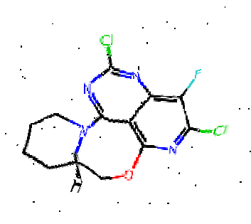 Fc1c(Cl)nc2c3c(nc(Cl)nc13)N1CCCC[C@H]1CO2